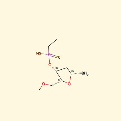 B[C@H]1C[C@@H](OP(=S)(S)CC)[C@@H](COC)O1